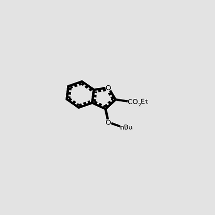 CCCCOc1c(C(=O)OCC)oc2ccccc12